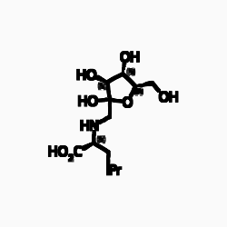 CC(C)C[C@H](NCC1(O)O[C@H](CO)[C@@H](O)[C@@H]1O)C(=O)O